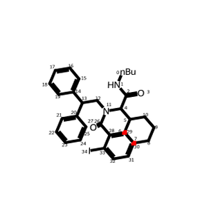 CCCCNC(=O)C(C1CCCCC1)N(CC(c1ccccc1)c1ccccc1)C(=O)c1ccccc1I